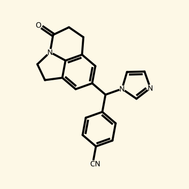 N#Cc1ccc(C(c2cc3c4c(c2)CCN4C(=O)CC3)n2ccnc2)cc1